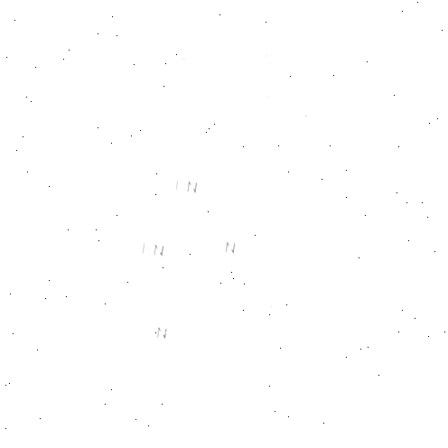 Cc1ccc(N=C(NC#N)Nc2cccc3ccccc23)cc1